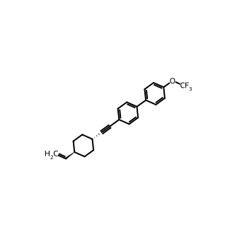 C=C[C@H]1CC[C@H](C#Cc2ccc(-c3ccc(OC(F)(F)F)cc3)cc2)CC1